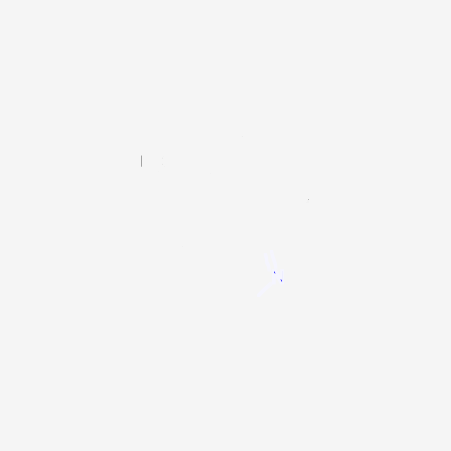 Cc1cccc2c1=CCCN=2